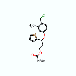 CNC(=O)OCCC(Oc1ccc(CCl)c(C)c1)c1cccs1